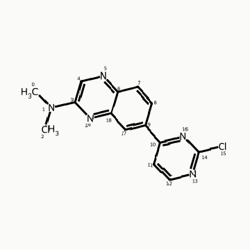 CN(C)c1cnc2ccc(-c3ccnc(Cl)n3)cc2n1